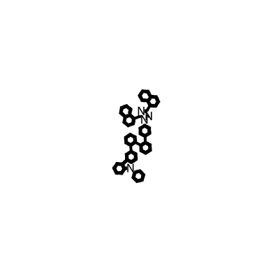 c1ccc(-n2c3ccccc3c3cc(-c4ccccc4-c4ccccc4-c4ccc(-n5nc(-c6cccc7ccccc67)nc5-c5cccc6ccccc56)cc4)ccc32)cc1